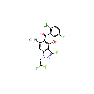 O=C(c1cc(F)ccc1Cl)c1c([N+](=O)[O-])cc2c(c(F)nn2CC(F)F)c1Br